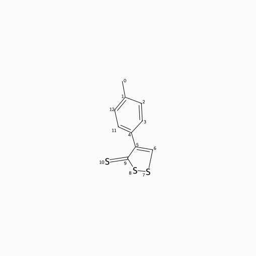 Cc1ccc(-c2cssc2=S)cc1